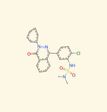 CN(C)S(=O)(=O)Nc1cc(-c2nn(-c3ccccc3)c(=O)c3ccccc23)ccc1Cl